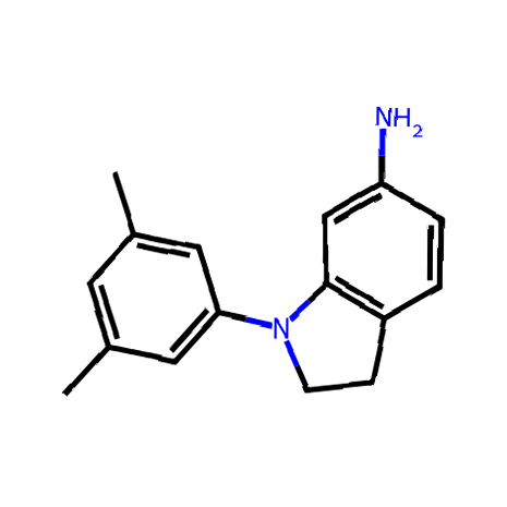 Cc1cc(C)cc(N2CCc3ccc(N)cc32)c1